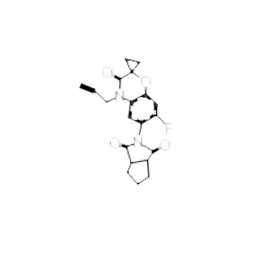 C#CCN1C(=O)C2(CC2)Oc2cc(F)c(N3C(=O)C4CCCC4C3=O)cc21